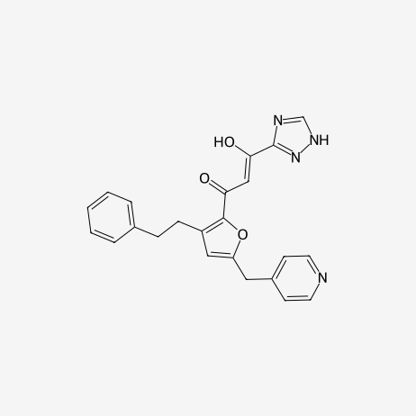 O=C(C=C(O)c1nc[nH]n1)c1oc(Cc2ccncc2)cc1CCc1ccccc1